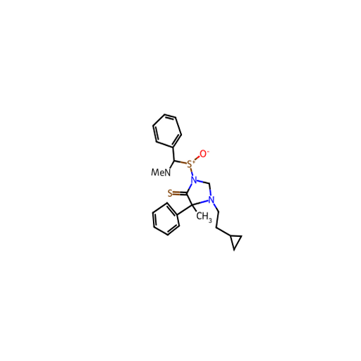 CNC(c1ccccc1)[S+]([O-])N1CN(CCC2CC2)C(C)(c2ccccc2)C1=S